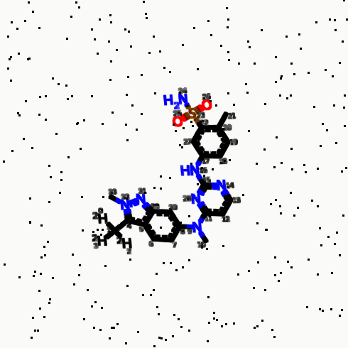 [2H]C([2H])([2H])c1c2ccc(N(C)c3ccnc(Nc4ccc(C)c(S(N)(=O)=O)c4)n3)cc2nn1C